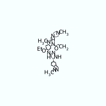 C=CC(=O)Nc1cc(NC2=C[C@H](c3ccc4c(cnn4C)c3)NC=N2)c(OCC)cc1N(C)CCN1CCN(C)CC1